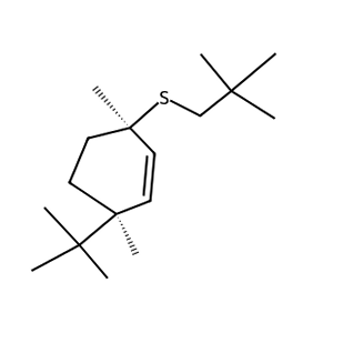 CC(C)(C)CS[C@@]1(C)C=C[C@@](C)(C(C)(C)C)CC1